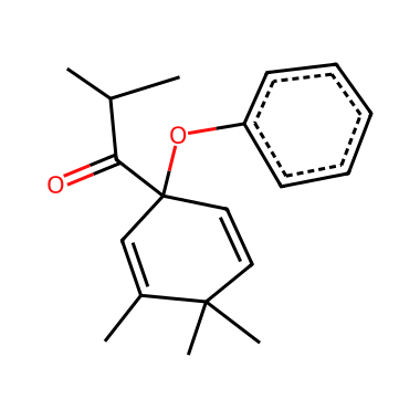 CC1=CC(Oc2ccccc2)(C(=O)C(C)C)C=CC1(C)C